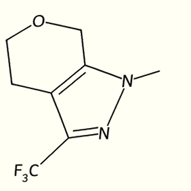 Cn1nc(C(F)(F)F)c2c1COCC2